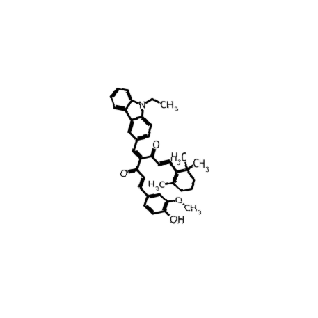 CCn1c2ccccc2c2cc(/C=C(\C(=O)/C=C/C3=C(C)CCCC3(C)C)C(=O)/C=C/c3ccc(O)c(OC)c3)ccc21